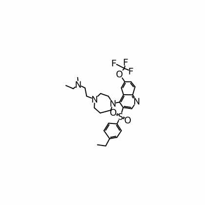 CCc1ccc(S(=O)(=O)c2cnc3ccc(OC(F)(F)F)cc3c2N2CCCN(CCN(C)CC)CC2)cc1